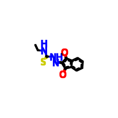 CCNC(=S)NN=c1c(=O)c2ccccc2c1=O